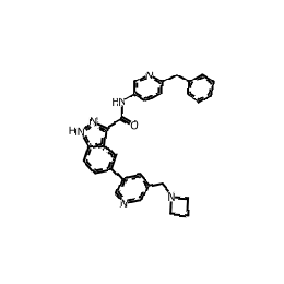 O=C(Nc1ccc(Cc2ccccc2)nc1)c1n[nH]c2ccc(-c3cncc(CN4CCC4)c3)cc12